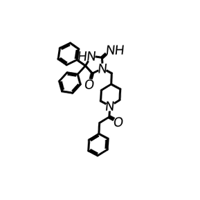 N=C1NC(c2ccccc2)(c2ccccc2)C(=O)N1CC1CCN(C(=O)Cc2ccccc2)CC1